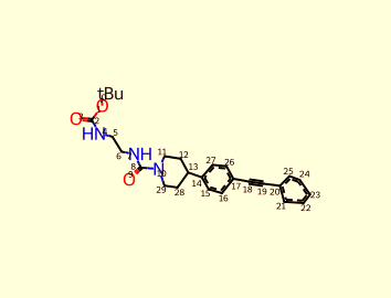 CC(C)(C)OC(=O)NCCNC(=O)N1CCC(c2ccc(C#Cc3ccccc3)cc2)CC1